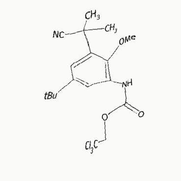 COc1c(NC(=O)OCC(Cl)(Cl)Cl)cc(C(C)(C)C)cc1C(C)(C)C#N